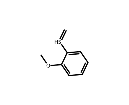 [CH]=[SH]c1ccccc1OC